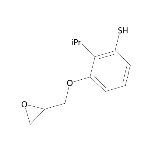 CC(C)c1c(S)cccc1OCC1CO1